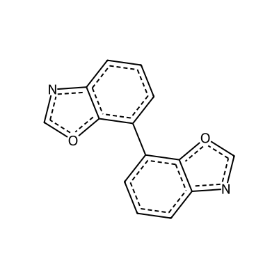 c1cc(-c2cccc3ncoc23)c2ocnc2c1